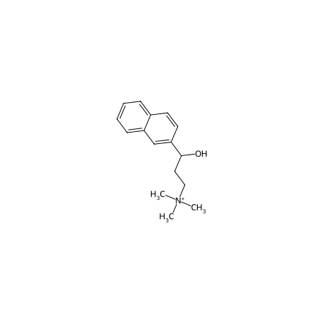 C[N+](C)(C)CCC(O)c1ccc2ccccc2c1